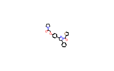 O=C(COc1ccc(C2=NN(C(=O)c3cccs3)C(c3ccccc3)C2)cc1)N1CCCC1